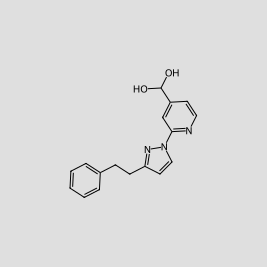 OC(O)c1ccnc(-n2ccc(CCc3ccccc3)n2)c1